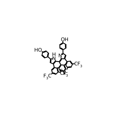 Cc1cc(C)c(C(=C2N=C(c3ccc(O)cc3)C=C2c2cc(C(F)(F)F)cc(C(F)(F)F)c2)c2[nH]c(-c3ccc(O)cc3)cc2-c2cc(C(F)(F)F)cc(C(F)(F)F)c2)c(C)c1